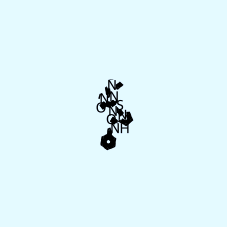 CCN(C)Cc1nc2sc(N3CCC[C@@H]3C(=O)NCc3ccccc3)nc2c(=O)n1C